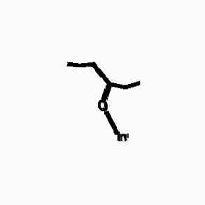 CCC(C)[O][In]